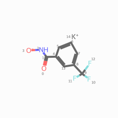 O=C(N[O-])c1cccc(C(F)(F)F)c1.[K+]